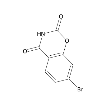 O=c1[nH]c(=O)c2ccc(Br)cc2o1